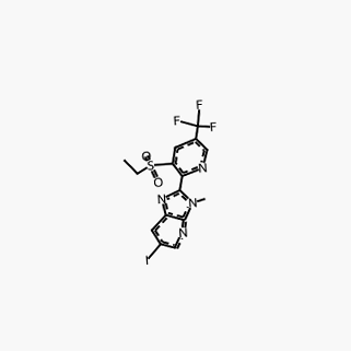 CCS(=O)(=O)c1cc(C(F)(F)F)cnc1-c1nc2cc(I)cnc2n1C